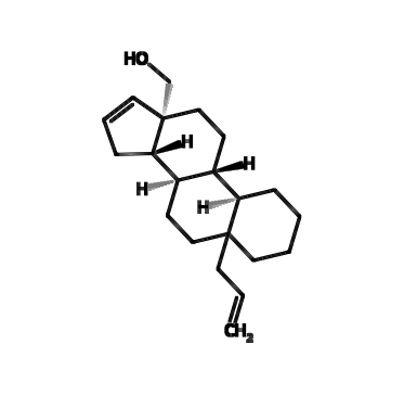 C=CCC12CCCC[C@@H]1[C@H]1CC[C@]3(CO)C=CC[C@H]3[C@@H]1CC2